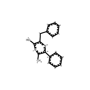 Cc1nc(O)c(Cc2ccccc2)nc1-c1ccccc1